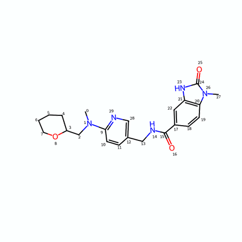 CN(CC1CCCCO1)c1ccc(CNC(=O)c2ccc3c(c2)[nH]c(=O)n3C)cn1